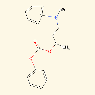 CCCN(CCC(C)OC(=O)Oc1ccccc1)c1ccccc1